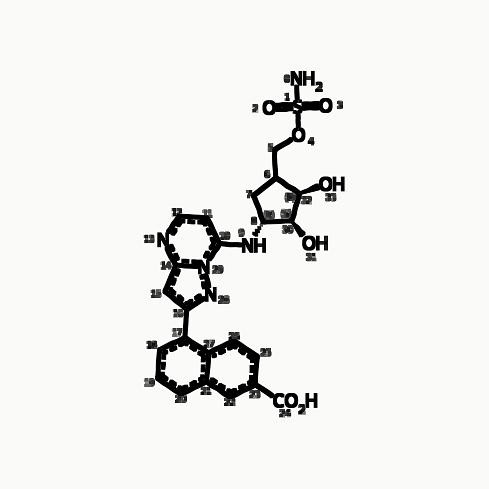 NS(=O)(=O)OCC1C[C@@H](Nc2ccnc3cc(-c4cccc5cc(C(=O)O)ccc45)nn23)[C@H](O)[C@@H]1O